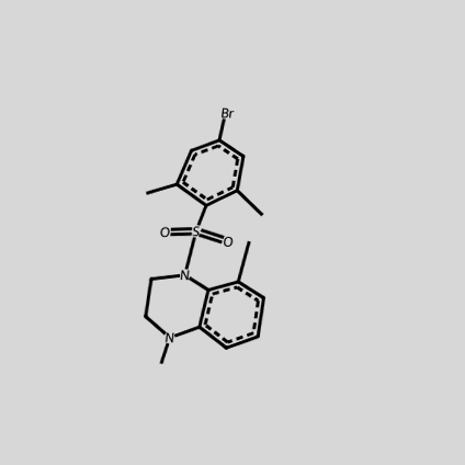 Cc1cccc2c1N(S(=O)(=O)c1c(C)cc(Br)cc1C)CCN2C